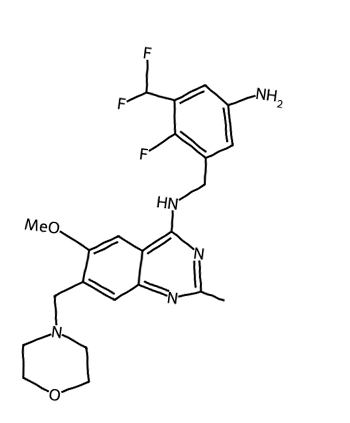 COc1cc2c(NCc3cc(N)cc(C(F)F)c3F)nc(C)nc2cc1CN1CCOCC1